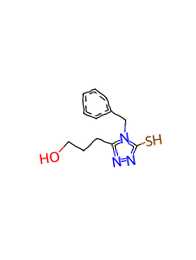 OCCCc1nnc(S)n1Cc1ccccc1